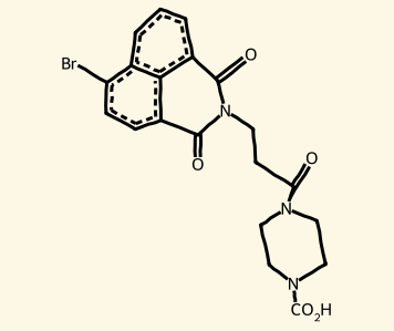 O=C(O)N1CCN(C(=O)CCN2C(=O)c3cccc4c(Br)ccc(c34)C2=O)CC1